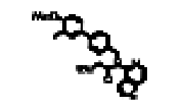 COc1ccc(-c2ccc(CN(C(=O)CC(C)(C)C)c3nccc4sccc34)cc2)cc1C